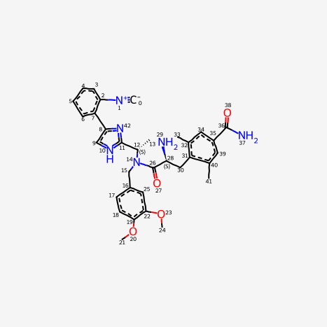 [C-]#[N+]c1ccccc1-c1c[nH]c([C@H](C)N(Cc2ccc(OC)c(OC)c2)C(=O)[C@@H](N)Cc2c(C)cc(C(N)=O)cc2C)n1